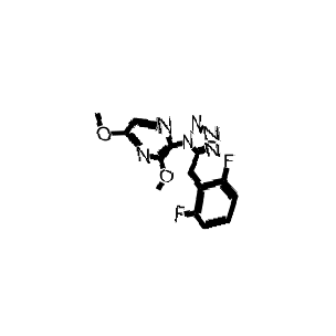 COc1cnc(-n2nnnc2Cc2c(F)cccc2F)c(OC)n1